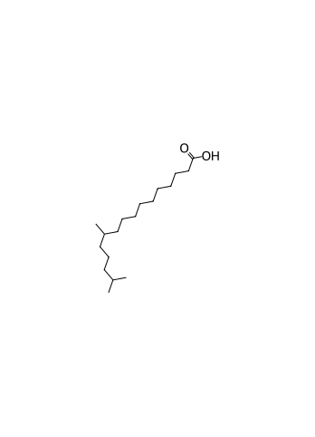 CC(C)CCCC(C)CCCCCCCCCC(=O)O